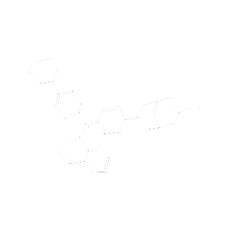 CC1CC2CC(C1)CC(c1ccc(N(c3ccc(C4CCCCC4)cc3)c3cccc4ccccc34)cc1)C2